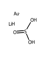 O=S(O)O.[Au].[LiH]